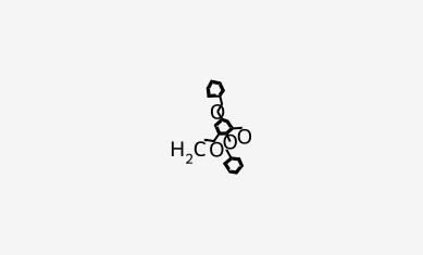 C=CC(=O)c1cc(OCc2ccccc2)cc(C=O)c1OCc1ccccc1